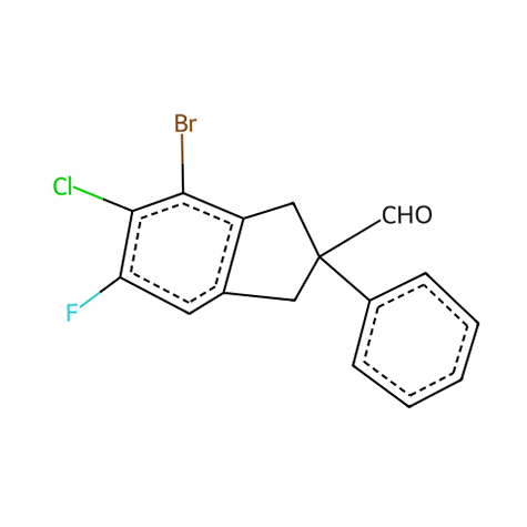 O=CC1(c2ccccc2)Cc2cc(F)c(Cl)c(Br)c2C1